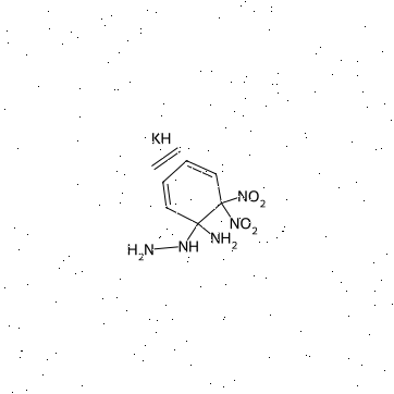 C=C.NNC1(N)C=CC=CC1([N+](=O)[O-])[N+](=O)[O-].[KH]